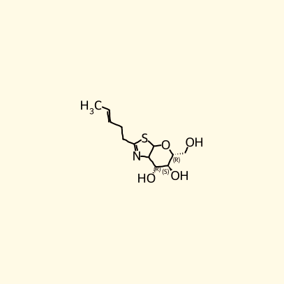 CC=CCCC1=NC2C(O[C@H](CO)[C@@H](O)[C@@H]2O)S1